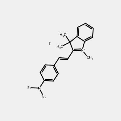 CCN(CC)c1ccc(C=CC2=[N+](C)c3ccccc3C2(C)C)cc1.[I-]